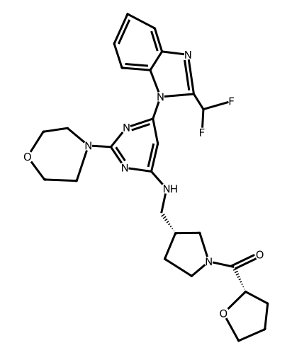 O=C([C@@H]1CCCO1)N1CC[C@H](CNc2cc(-n3c(C(F)F)nc4ccccc43)nc(N3CCOCC3)n2)C1